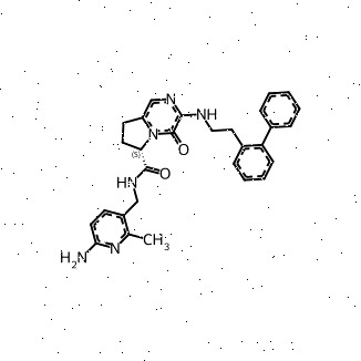 Cc1nc(N)ccc1CNC(=O)[C@@H]1CCc2cnc(NCCc3ccccc3-c3ccccc3)c(=O)n21